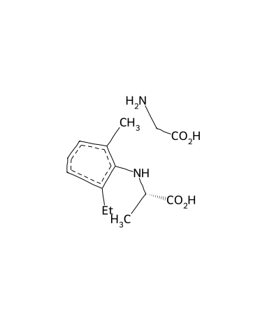 CCc1cccc(C)c1N[C@@H](C)C(=O)O.NCC(=O)O